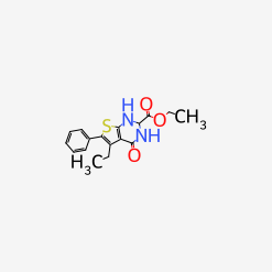 CCOC(=O)C1NC(=O)c2c(sc(-c3ccccc3)c2CC)N1